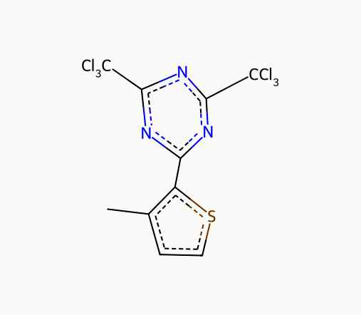 Cc1ccsc1-c1nc(C(Cl)(Cl)Cl)nc(C(Cl)(Cl)Cl)n1